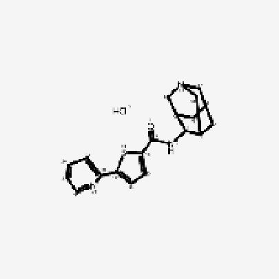 Cl.O=C(NC1C2CC3CC1CN(C3)C2)c1ccc(-c2ccccn2)s1